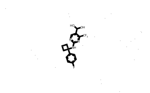 OC(O)c1cnc(NC2(c3ccc(F)cc3)CCC2)nc1C(F)(F)F